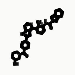 Cc1c(NC(=O)n2cc3ccccc3c2)cccc1-c1ncnc2[nH]c(-c3ccc(C(=O)N4CCCC(O)C4)cc3)cc12